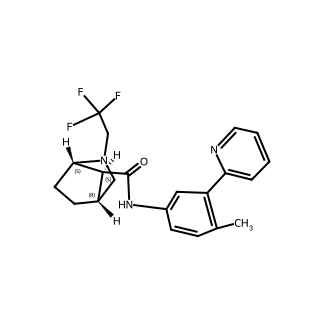 Cc1ccc(NC(=O)[C@H]2[C@H]3CC[C@@H]2N(CC(F)(F)F)C3)cc1-c1ccccn1